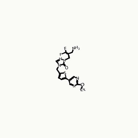 CCOc1ncc(-c2ccc(Cn3cnn(CC(CN)=C(F)F)c3=O)s2)cn1